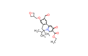 CCOC(=O)c1cn2c(cc1=O)-c1cc(C=O)c(OCC3COC3)cc1CC2(C)C(C)C